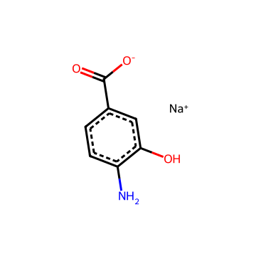 Nc1ccc(C(=O)[O-])cc1O.[Na+]